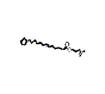 CN(C)CCCOC(=O)CCCC/C=C/CCCCCC[C@H]1C=CCC1